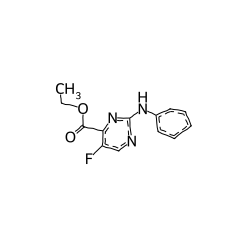 CCOC(=O)c1nc(Nc2ccccc2)ncc1F